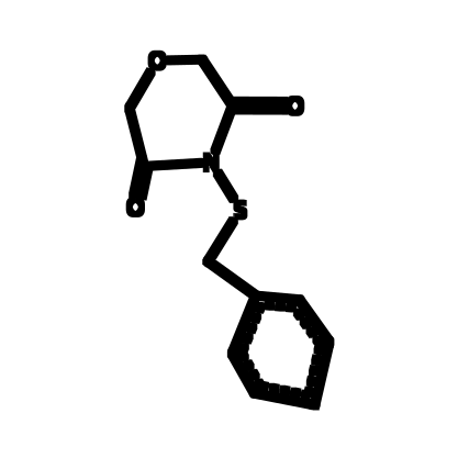 O=C1COCC(=O)N1SCc1ccccc1